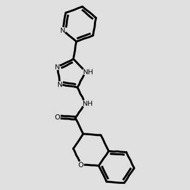 O=C(Nc1nnc(-c2ccccn2)[nH]1)C1COc2ccccc2C1